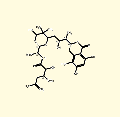 C=C(C)C[C@H](OC)C(O)C(=O)N[C@H](OC)[C@@H]1CC(O)C(C)(C)C(C[C@H](O)[C@@H](C)[C@H]2Cc3c(C)c(O)cc(O)c3C(=O)O2)O1